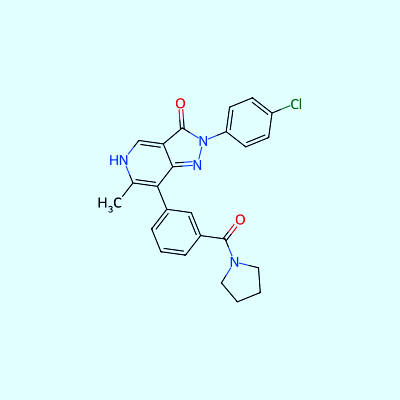 Cc1[nH]cc2c(=O)n(-c3ccc(Cl)cc3)nc-2c1-c1cccc(C(=O)N2CCCC2)c1